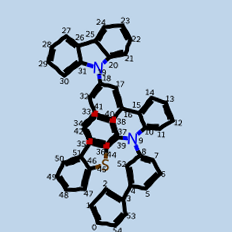 c1ccc(-c2cccc(N(c3ccccc3-c3cc(-n4c5ccccc5c5ccccc54)cc4ccccc34)c3cccc4c3sc3ccccc34)c2)cc1